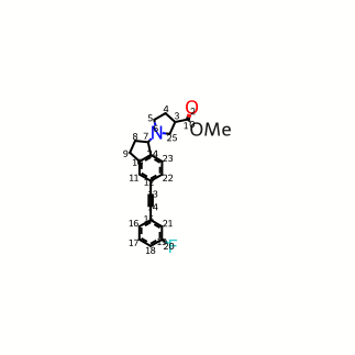 COC(=O)C1CCN(C2CCc3cc(C#Cc4cccc(F)c4)ccc32)C1